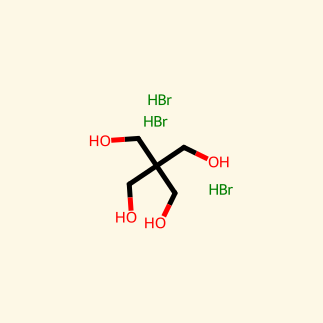 Br.Br.Br.OCC(CO)(CO)CO